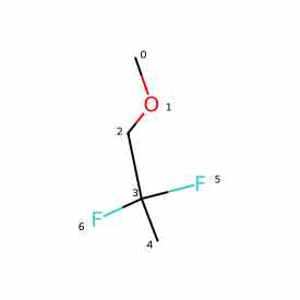 COCC(C)(F)F